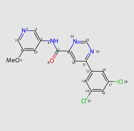 COc1cncc(NC(=O)c2cc(-c3cc(Cl)cc(Cl)c3)ncn2)c1